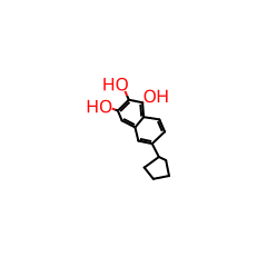 Oc1cc2cc(C3CCCC3)ccc2c(O)c1O